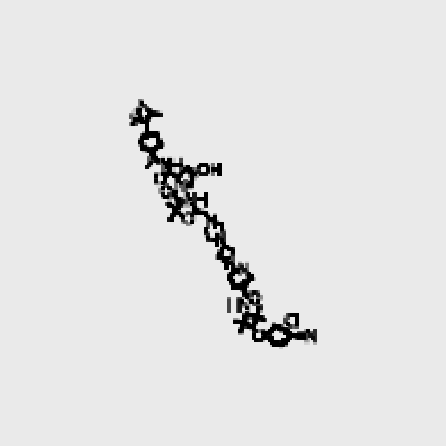 Cc1ncsc1-c1ccc([C@H](C)NC(=O)C2C[C@@H](O)CN2C(=O)[C@@H](NC(=O)CN2CCN(C3CN(c4ccc(C(=O)N[C@H]5C(C)(C)[C@H](Oc6ccc(C#N)c(Cl)c6)C5(C)C)cn4)C3)CC2)C(C)(C)C)cc1